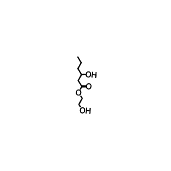 CCCC(O)CC(=O)OCCO